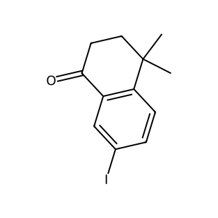 CC1(C)CCC(=O)c2cc(I)ccc21